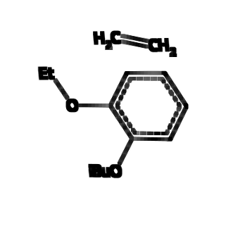 C=C.CCOc1ccccc1OCC(C)C